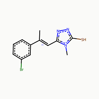 C/C(=C\c1nnc(S)n1C)c1cccc(Br)c1